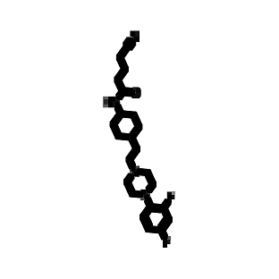 N#CCCCC(=O)NC1CCC(CCN2CCN(c3ccc(F)cc3F)CC2)CC1